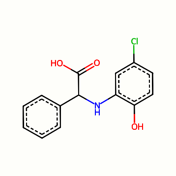 O=C(O)C(Nc1cc(Cl)ccc1O)c1ccccc1